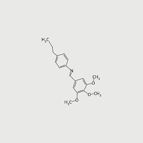 CCCc1ccc(N=Cc2cc(OC)c(OC)c(OC)c2)cc1